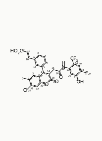 Cc1cc2c(-c3cccc(C=CC(=O)O)c3)c(CC(=O)Nc3cc(O)c(F)cc3C(F)(F)F)c(=O)oc2cc1Cl